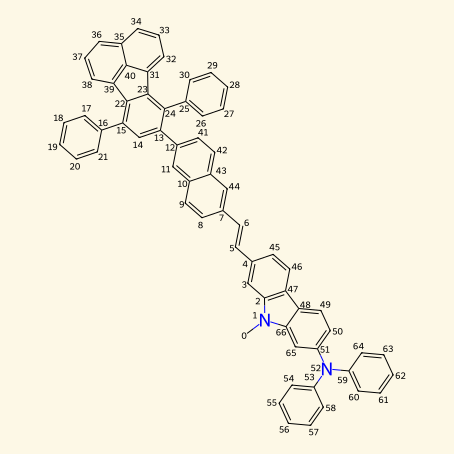 Cn1c2cc(/C=C/c3ccc4cc(-c5cc(-c6ccccc6)c6c(c5-c5ccccc5)-c5cccc7cccc-6c57)ccc4c3)ccc2c2ccc(N(c3ccccc3)c3ccccc3)cc21